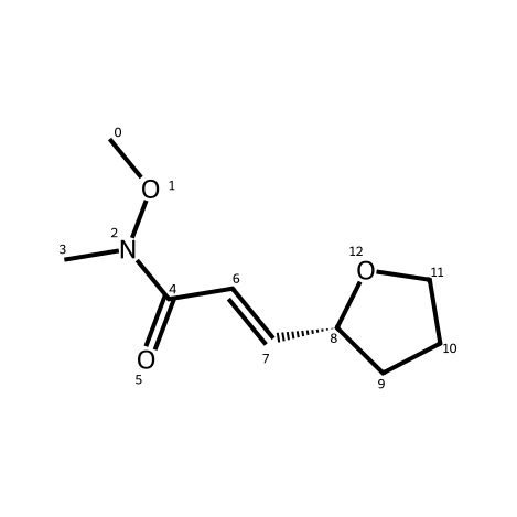 CON(C)C(=O)/C=C/[C@H]1CCCO1